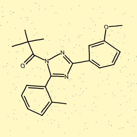 COc1cccc(-c2nc(-c3ccccc3C)n(C(=O)C(C)(C)C)n2)c1